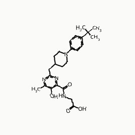 Cc1nc(CC2CCN(c3ccc(C(C)(C)C)cc3)CC2)nc(C(=O)NCC(=O)O)c1O